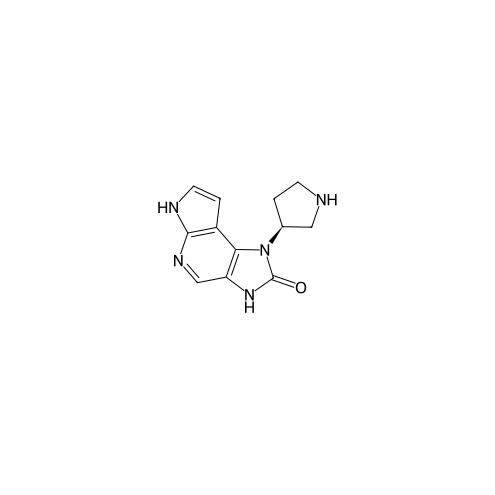 O=c1[nH]c2cnc3[nH]ccc3c2n1[C@H]1CCNC1